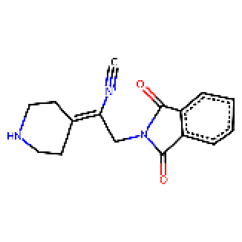 [C-]#[N+]C(CN1C(=O)c2ccccc2C1=O)=C1CCNCC1